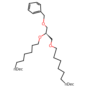 CCCCCCCCCCCCCCCCOC[C@H](COCc1ccccc1)OCCCCCCCCCCCCCCCC